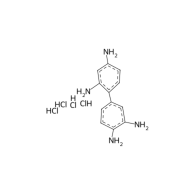 Cl.Cl.Cl.Cl.Nc1ccc(-c2ccc(N)c(N)c2)c(N)c1